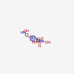 O=C(NCCO)[C@H]1O[C@@H](N2CNc3c(OCc4ccc(NO)cc4)ncnc32)[C@H](O)[C@@H]1O